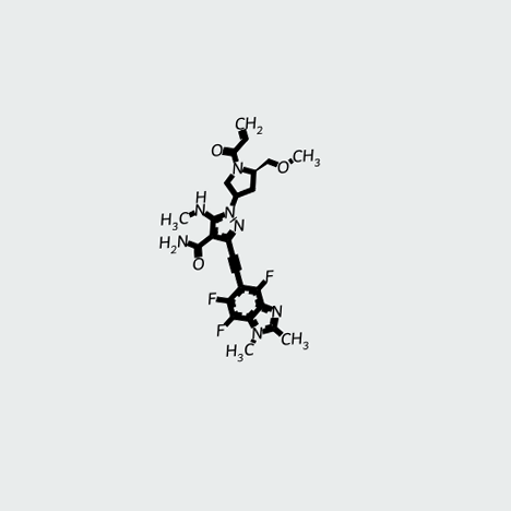 C=CC(=O)N1CC(n2nc(C#Cc3c(F)c(F)c4c(nc(C)n4C)c3F)c(C(N)=O)c2NC)C[C@@H]1COC